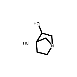 Cl.OC1CN2CCC1C2